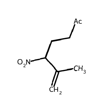 C=C(C)C(CCC(C)=O)[N+](=O)[O-]